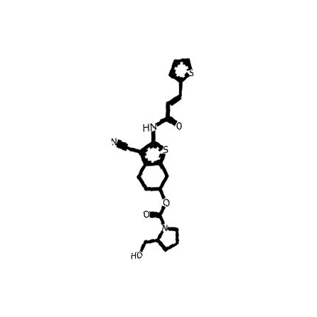 N#Cc1c(NC(=O)C=Cc2cccs2)sc2c1CCC(OC(=O)N1CCCC1CO)C2